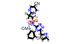 COc1cccc(OC)c1-n1c(NS(=O)(=O)[C@H](C)C(C)(F)c2ncc(C#N)cn2)nnc1-c1nc(C)cs1